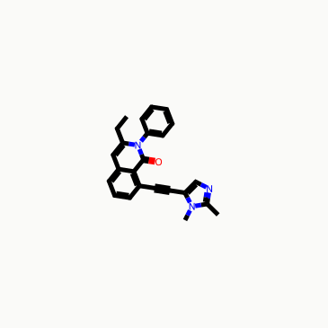 CCc1cc2cccc(C#Cc3cnc(C)n3C)c2c(=O)n1-c1ccccc1